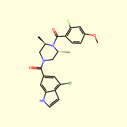 COc1ccc(C(=O)N2[C@H](C)CN(C(=O)c3cc(Cl)c4cc[nH]c4c3)C[C@H]2C)c(F)c1